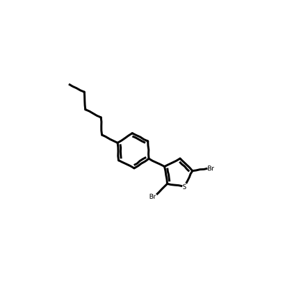 CCCCCc1ccc(-c2cc(Br)sc2Br)cc1